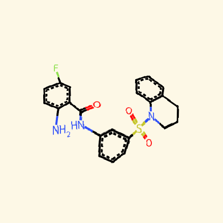 Nc1ccc(F)cc1C(=O)Nc1cccc(S(=O)(=O)N2CCCc3ccccc32)c1